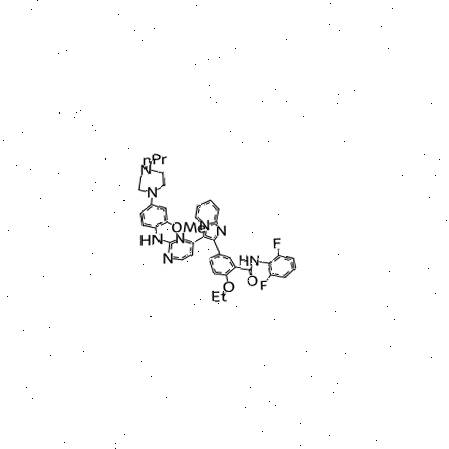 CCCN1CCN(c2ccc(Nc3nccc(-c4c(-c5ccc(OCC)c(C(=O)Nc6c(F)cccc6F)c5)nc5ccccn45)n3)c(OC)c2)CC1